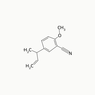 [CH2]C(C=C)c1ccc(OC)c(C#N)c1